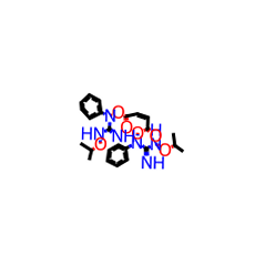 CC(C)ONC(=N)N(OC(=O)/C=C\C(=O)ON(C(=N)NOC(C)C)c1ccccc1)c1ccccc1